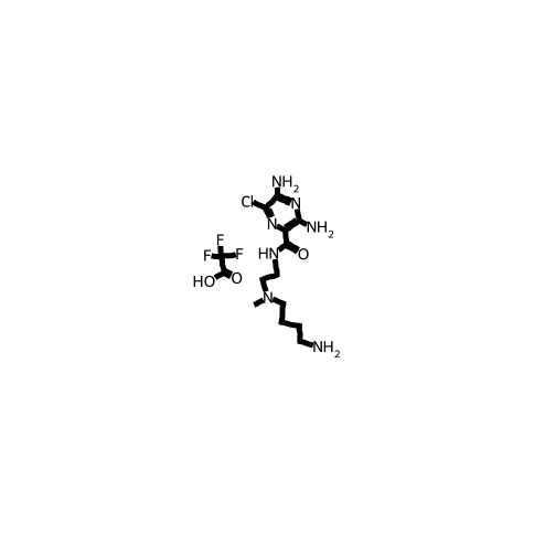 CN(CCCCN)CCNC(=O)c1nc(Cl)c(N)nc1N.O=C(O)C(F)(F)F